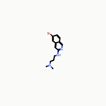 CN(C)CCCNc1cc2cc(Br)ccc2cn1